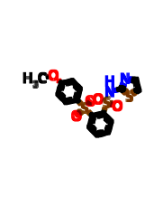 COc1ccc(S(=O)(=O)c2ccccc2S(=O)(=O)Nc2nccs2)cc1